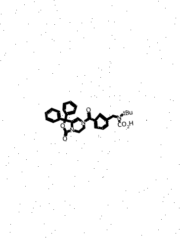 CC(C)(C)N(Cc1cccc(C(=O)N2C=C3N(CC2)C(=O)OC3(c2ccccc2)c2ccccc2)c1)C(=O)O